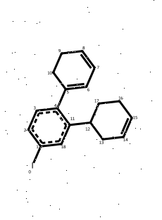 Ic1ccc(C2=CC=CCC2)c(C2CC=CCC2)c1